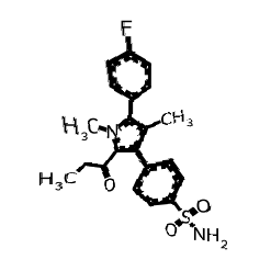 CCC(=O)c1c(-c2ccc(S(N)(=O)=O)cc2)c(C)c(-c2ccc(F)cc2)n1C